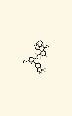 Cc1cc(C(C)Nc2ccc(Cl)nc2-c2ccc3c(c2)CN(C)C3=O)c2c(c1)c(=O)n1c3c2cnn3CCC1